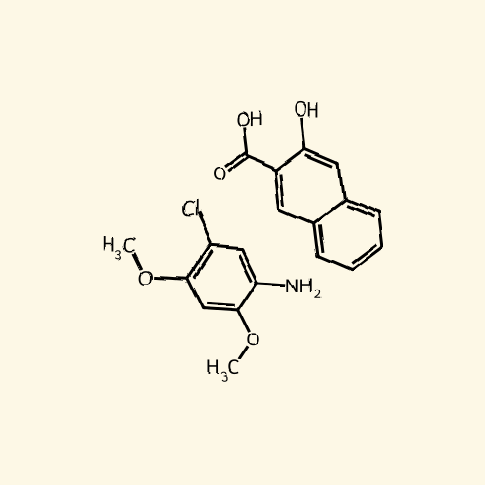 COc1cc(OC)c(Cl)cc1N.O=C(O)c1cc2ccccc2cc1O